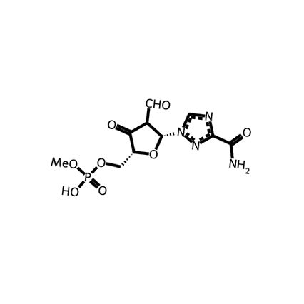 COP(=O)(O)OC[C@H]1O[C@@H](n2cnc(C(N)=O)n2)C(C=O)C1=O